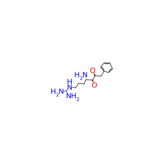 NC(N)NCCC[C@H](N)C(=O)C(=O)Cc1ccccc1